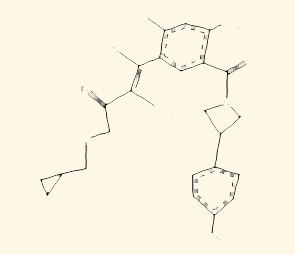 C/C(C(=N)COCC1CC1)=C(/N)c1cc(C(=O)N2CC(c3ccc(C#N)cc3)C2)c(C)cc1C